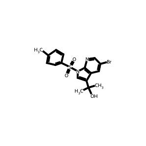 Cc1ccc(S(=O)(=O)n2cc(C(C)(C)O)c3cc(Br)cnc32)cc1